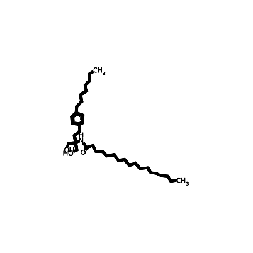 CCCCCCCCCCCCCCCCCC(=O)NC(CO)(CO)CCc1ccc(CCCCCCCC)cc1